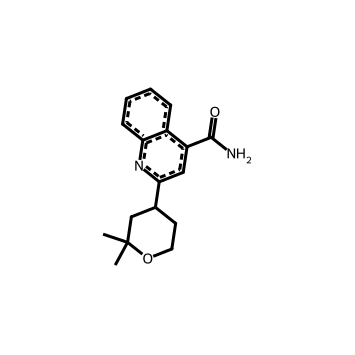 CC1(C)CC(c2cc(C(N)=O)c3ccccc3n2)CCO1